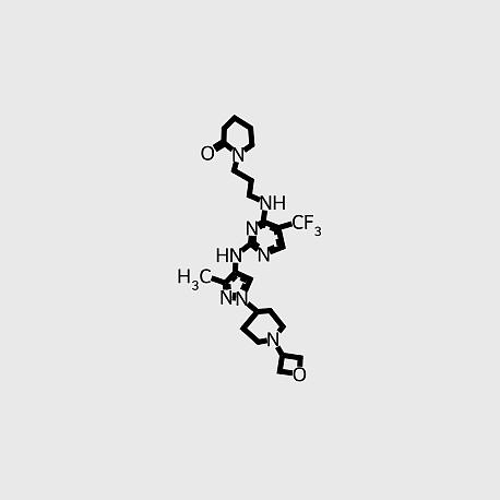 Cc1nn(C2CCN(C3COC3)CC2)cc1Nc1ncc(C(F)(F)F)c(NCCCN2CCCCC2=O)n1